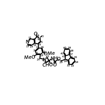 COc1cc(-c2cn(C)c(=O)c3cnccc23)cc(OC)c1CN1CC(C=O)(NC(=O)OCC2c3ccccc3-c3ccccc32)C1